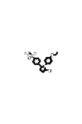 CCOc1ccc(-n2c(Cl)ccc2-c2ccc(S(N)(=O)=O)cc2)cc1